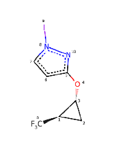 FC(F)(F)[C@@H]1C[C@H]1Oc1ccn(I)n1